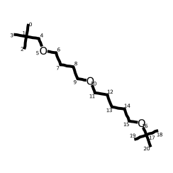 CC(C)(C)COCCCCOCCCCCOC(C)(C)C